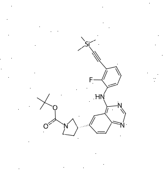 CC(C)(C)OC(=O)N1CC[C@@H](c2ccc3ncnc(Nc4cccc(C#C[Si](C)(C)C)c4F)c3c2)C1